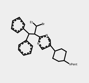 CCCCCC1CCC(c2cnc(C(C(Br)CC)C(c3ccccc3)c3ccccc3)nc2)CC1